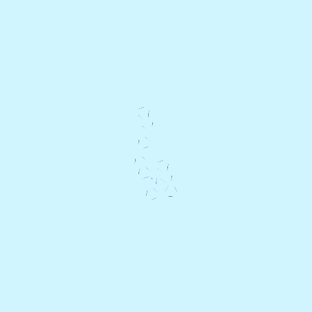 c1ccc2cc(-c3ccc(-c4ccc5ccc(N(c6cccc7ccccc67)c6cccc7sc8ccccc8c67)cc5c4)cc3)ccc2c1